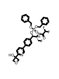 O=C(N[C@H](CF)[C@H](OP(=O)(OCc1ccccc1)OCc1ccccc1)c1ccc(-c2ccc(C3(O)COC3)nc2)cc1)C(F)F